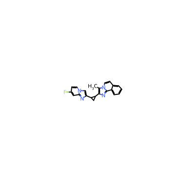 Cc1c(C2CC2c2cn3ccc(F)cc3n2)nc2c3ccccc3ccn12